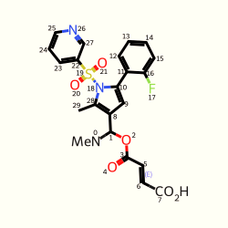 CNC(OC(=O)/C=C/C(=O)O)c1cc(-c2ccccc2F)n(S(=O)(=O)c2cccnc2)c1C